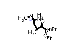 C=C(C/C(N)=N\C)C(=O)N(CCC)OCC